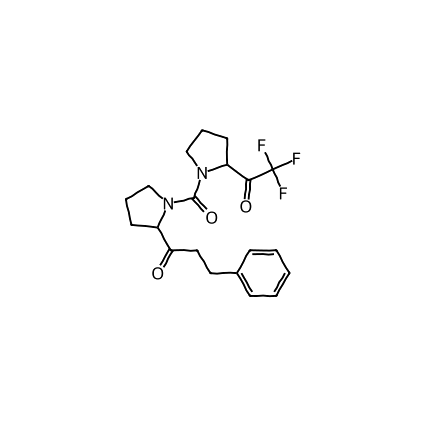 O=C(CCc1ccccc1)C1CCCN1C(=O)N1CCCC1C(=O)C(F)(F)F